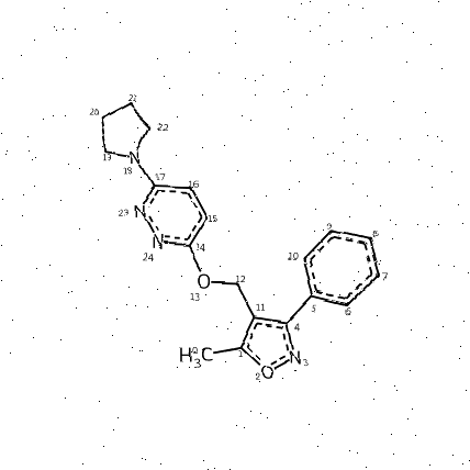 Cc1onc(-c2ccccc2)c1COc1ccc(N2CCCC2)nn1